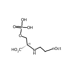 CCCCCCCCCCN[C@@H](COP(=O)(O)O)C(=O)O